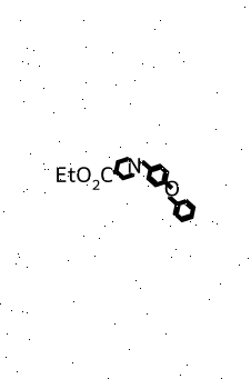 CCOC(=O)C1CCN(Cc2ccc(OCc3ccccc3)cc2)CC1